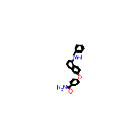 NC(=O)c1ccc(Oc2ccc3c(c2)CCCC3NCc2ccccc2)cc1